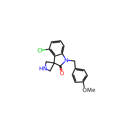 COc1ccc(CN2C(=O)C3(CNC3)c3c(Cl)cccc32)cc1